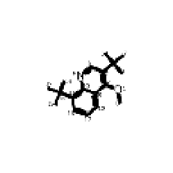 COc1c(C(C)(C)C)cnc2c(C(C)(C)C)cccc12